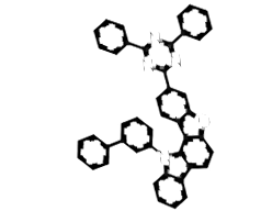 c1ccc(-c2cccc(-n3c4ccccc4c4ccc5oc6cc(-c7nc(-c8ccccc8)nc(-c8ccccc8)n7)ccc6c5c43)c2)cc1